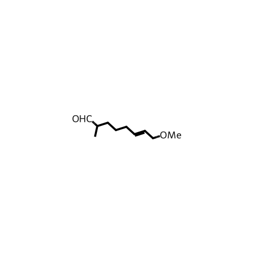 COCC=CCCCC(C)C=O